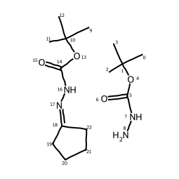 CC(C)(C)OC(=O)NN.CC(C)(C)OC(=O)NN=C1CCCC1